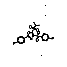 CC(C)S(=O)(=O)c1oc(-c2ccc(F)cc2)nc1S(=O)(=O)c1ccc(F)cc1